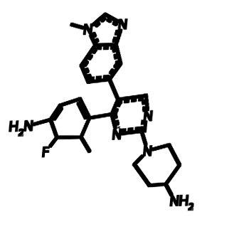 CC1C(c2nc(N3CCC(N)CC3)ncc2-c2ccc3c(c2)ncn3C)=CC=C(N)C1F